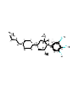 [2H][C@@H]1C[C@@H]([C@H]2CC[C@H](CCCC)CC2)CC([2H])([2H])C1c1cc(F)c(F)c(F)c1